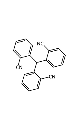 N#Cc1ccccc1[C](c1ccccc1C#N)c1ccccc1C#N